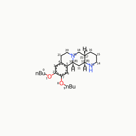 CCCCOc1cc2c(cc1OCCCC)[C@H]1C[C@H]3NCCC[C@H]3CN1CC2